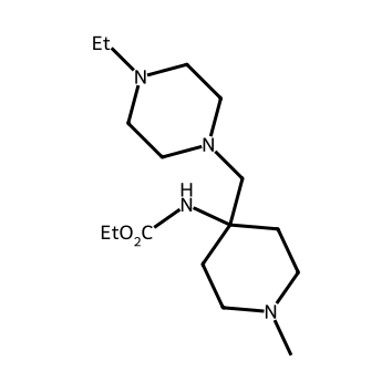 CCOC(=O)NC1(CN2CCN(CC)CC2)CCN(C)CC1